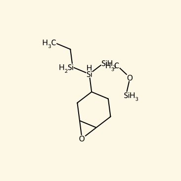 CC[SiH2][SiH]([SiH3])C1CCC2OC2C1.CO[SiH3]